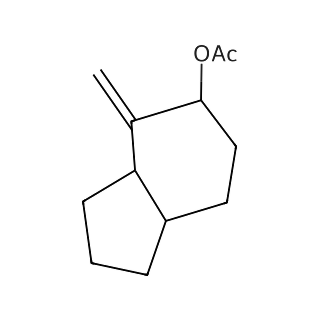 C=C1C(OC(C)=O)CCC2CCCC12